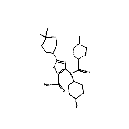 CC1CCC(C(=O)N(c2cc(C3CCC(C)(C)CC3)sc2C(=O)O)C2CCC(F)CC2)CC1